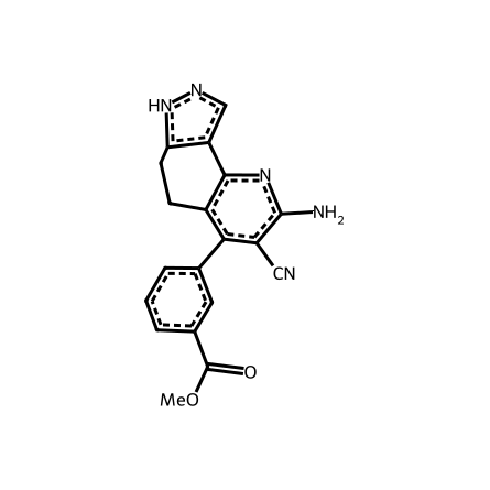 COC(=O)c1cccc(-c2c(C#N)c(N)nc3c2CCc2[nH]ncc2-3)c1